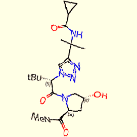 CNC(=O)[C@@H]1C[C@@H](O)CN1C(=O)[C@@H](n1cc(C(C)(C)NC(=O)C2CC2)nn1)C(C)(C)C